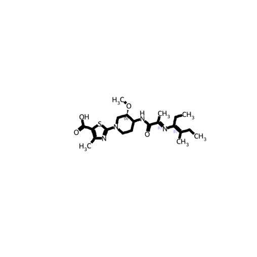 CC/C(C)=C(CC)/N=C(\C)C(=O)NC1CCN(c2nc(C)c(C(=O)O)s2)C[C@@H]1OC